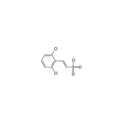 O=S(=O)(Cl)C=Cc1c(Cl)cccc1Cl